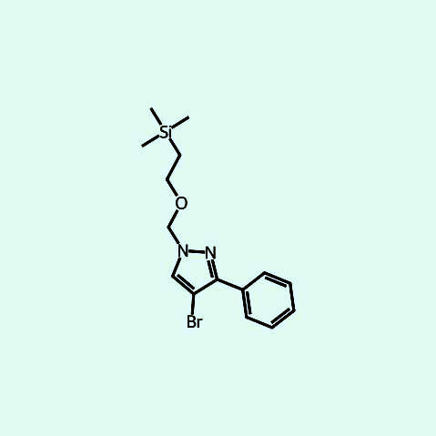 C[Si](C)(C)CCOCn1cc(Br)c(-c2ccccc2)n1